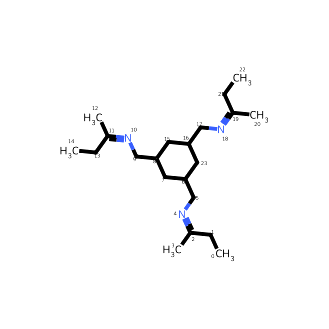 CCC(C)=NCC1CC(CN=C(C)CC)CC(CN=C(C)CC)C1